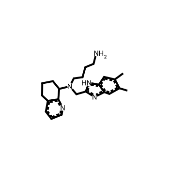 Cc1cc2nc(CN(CCCCN)C3CCCc4cccnc43)[nH]c2cc1C